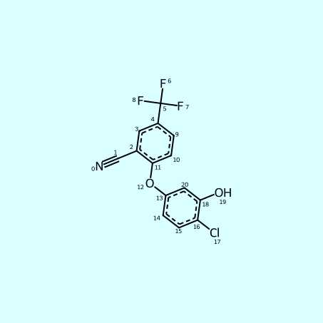 N#Cc1cc(C(F)(F)F)ccc1Oc1ccc(Cl)c(O)c1